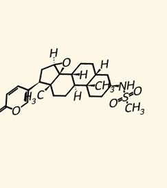 C[C@]12CC[C@H](NS(C)(=O)=O)C[C@H]1CC[C@@H]1[C@@H]2CC[C@]2(C)[C@@H](c3ccc(=O)oc3)C[C@H]3O[C@]132